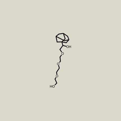 OCCOCCOCCOCC(O)C12CC3CC(CC(C3)C1)C2